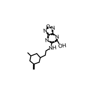 C=C1CC(C)CC(CCNc2nc3nonc3nc2O)C1